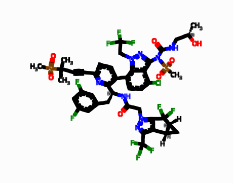 C[C@H](O)CNC(=O)N(c1nn(CC(F)(F)F)c2c(-c3ccc(C#CC(C)(C)S(C)(=O)=O)nc3[C@H](Cc3cc(F)cc(F)c3)NC(=O)Cn3nc(C(F)(F)F)c4c3C(F)(F)[C@@H]3C[C@H]43)ccc(Cl)c12)S(C)(=O)=O